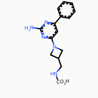 Nc1nc(-c2ccccc2)cc(N2CC(CNC(=O)O)C2)n1